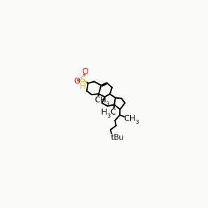 CC(CCCC(C)(C)C)C1CCC2C3CC=C4CC([SH](=O)=O)CCC4(C)C3CCC12C